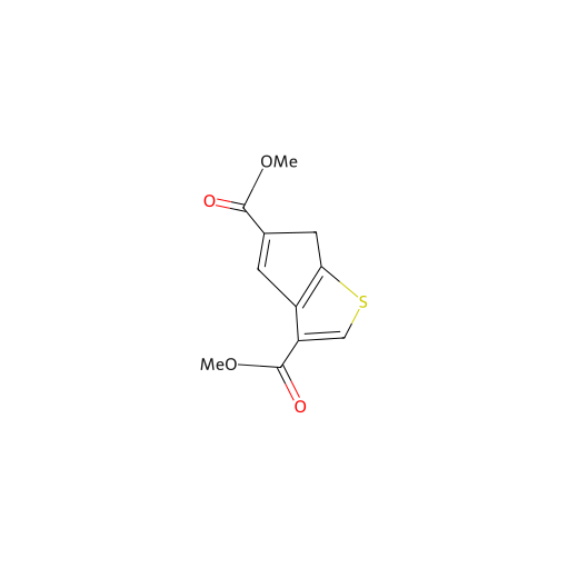 COC(=O)C1=Cc2c(C(=O)OC)csc2C1